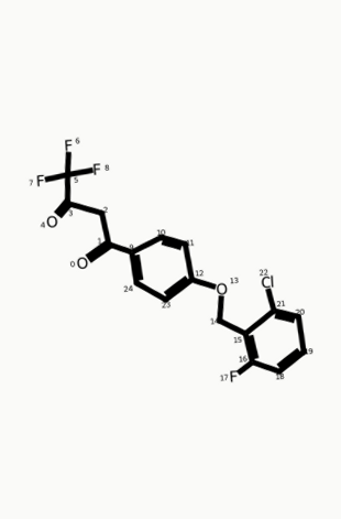 O=C(CC(=O)C(F)(F)F)c1ccc(OCc2c(F)cccc2Cl)cc1